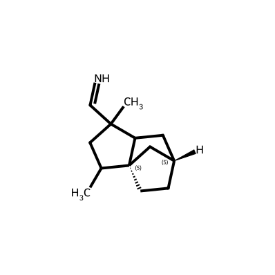 CC1CC(C)(C=N)C2C[C@@H]3CC[C@]12C3